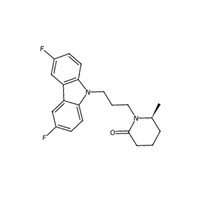 C[C@H]1CCCC(=O)N1CCCn1c2ccc(F)cc2c2cc(F)ccc21